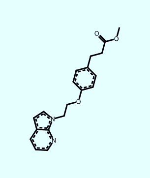 COC(=O)CCc1ccc(OCCn2ccc3cccnc32)cc1